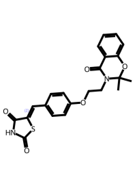 CC1(C)Oc2ccccc2C(=O)N1CCOc1ccc(/C=C2\SC(=O)NC2=O)cc1